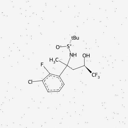 CC(C[C@@H](O)C(F)(F)F)(N[S@+]([O-])C(C)(C)C)c1cccc(Cl)c1F